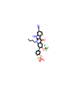 CCCCn1c2cc(-c3cccc(OS(=O)(=O)F)c3)c(OC(F)(F)F)cc2c(=O)c2c3ccc(C#N)cc3[nH]c21